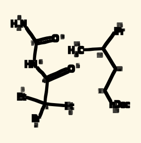 CCC(Br)(CC)C(=O)NC(N)=O.CCCCCCCCCCCCC(C)C(C)C